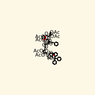 CC(=O)OC[C@@H](OC(C)=O)[C@H]1OC(OP(=O)(CP(=O)(OCc2ccccc2)OC[C@H]2O[C@@H](n3cnc4c(NC(c5ccccc5)(c5ccccc5)c5ccccc5)ncnc43)[C@H](OC(C)=O)[C@@H]2OC(C)=O)OCc2ccccc2)[C@@H](OC(C)=O)[C@@H](OC(C)=O)[C@@H]1OC(C)=O